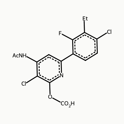 CCc1c(Cl)ccc(-c2cc(NC(C)=O)c(Cl)c(OC(=O)O)n2)c1F